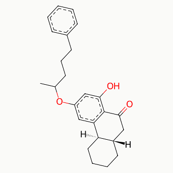 CC(CCCc1ccccc1)Oc1cc(O)c2c(c1)[C@@H]1CCCC[C@H]1CC2=O